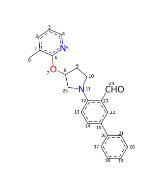 Cc1cccnc1OC1CCN(c2ccc(-c3ccccc3)cc2C=O)C1